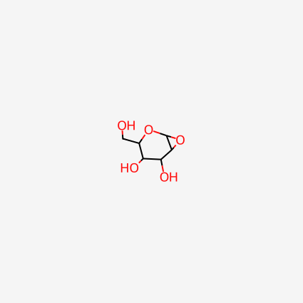 OCC1OC2OC2C(O)C1O